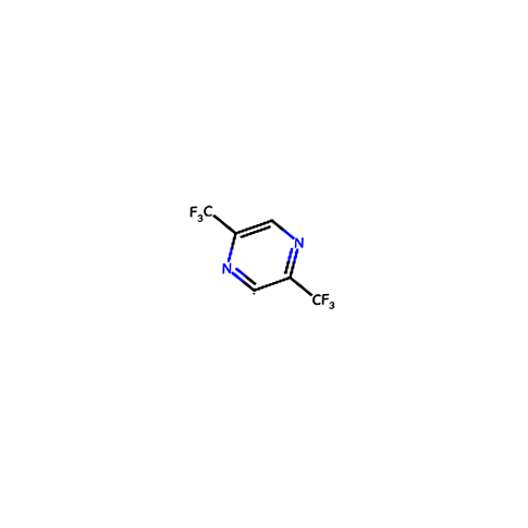 FC(F)(F)c1[c]nc(C(F)(F)F)cn1